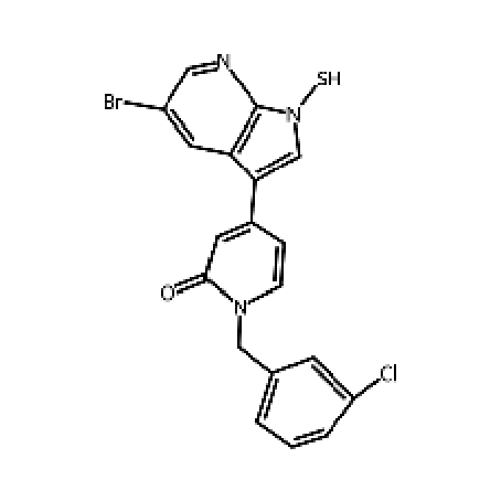 O=c1cc(-c2cn(S)c3ncc(Br)cc23)ccn1Cc1cccc(Cl)c1